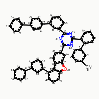 N#Cc1cccc(-c2ccccc2-c2nc(-c3cccc(-c4ccc(-c5ccccc5)cc4)c3)nc(-c3ccc4c(c3)oc3cccc(-c5cccc(-c6ccccc6)c5)c34)n2)c1